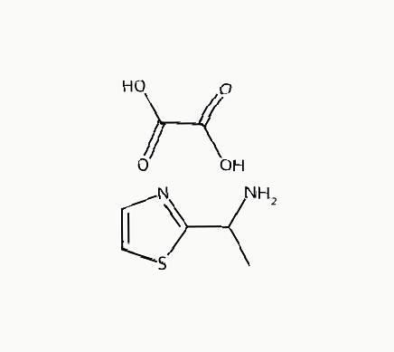 CC(N)c1nccs1.O=C(O)C(=O)O